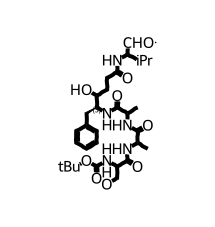 CC(NC(=O)C(C)NC(=O)C(CO)NC(=O)OC(C)(C)C)C(=O)N[C@@H](Cc1ccccc1)C(O)CCC(=O)NC([C]=O)C(C)C